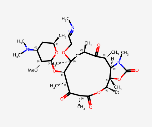 CC[C@H]1OC(=O)[C@H](C)C(=O)[C@H](C)[C@@H](O[C@@H]2O[C@H](C)C[C@H](N(C)C)[C@H]2OC)[C@@](C)(OC/C=N/C)C[C@@H](C)C(=O)[C@H](C)[C@H]2N(C)C(=O)O[C@]12C